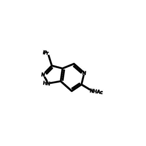 CC(=O)Nc1cc2[nH]nc(C(C)C)c2cn1